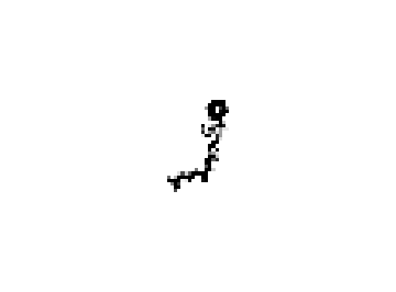 CC(C)=CCCC(C)CCOCC=[N+]([O-])Cc1ccccc1